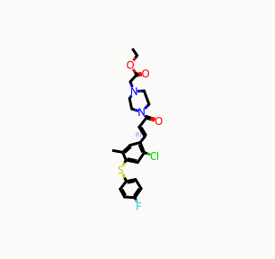 CCOC(=O)CN1CCN(C(=O)/C=C/c2cc(C)c(Sc3ccc(F)cc3)cc2Cl)CC1